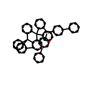 c1ccc(-c2ccc(N(c3ccc(-c4ccccc4)cc3)c3ccccc3C3(c4ccccc4)c4ccccc4C4(c5ccccc5)c5ccccc5-c5cccc3c54)cc2)cc1